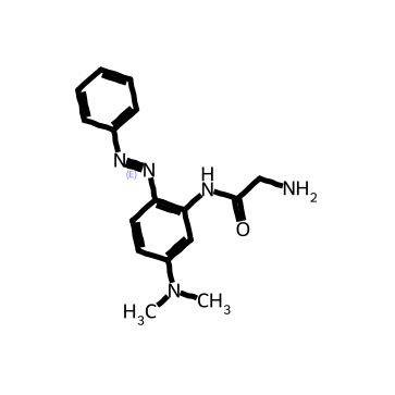 CN(C)c1ccc(/N=N/c2ccccc2)c(NC(=O)CN)c1